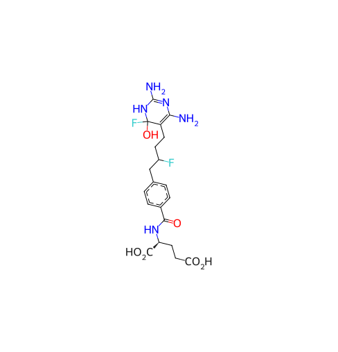 NC1=NC(N)=C(CCC(F)Cc2ccc(C(=O)N[C@@H](CCC(=O)O)C(=O)O)cc2)C(O)(F)N1